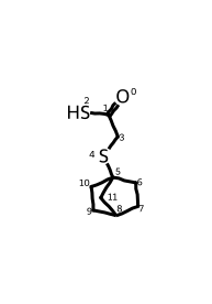 O=C(S)CSC12CCC(CC1)C2